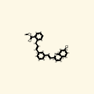 COC(=O)c1ccccc1CC=Cc1cccc(C=Cc2ccc3ccc(Cl)cc3n2)c1